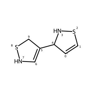 [C]1=CSNC1C1=CNSC1